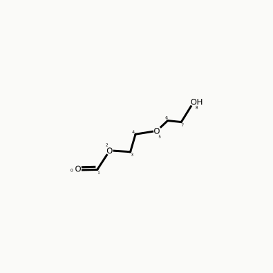 O=COCCOCCO